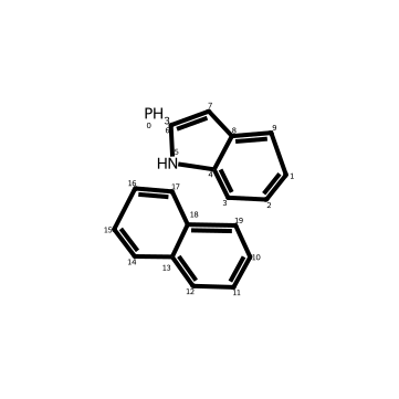 P.c1ccc2[nH]ccc2c1.c1ccc2ccccc2c1